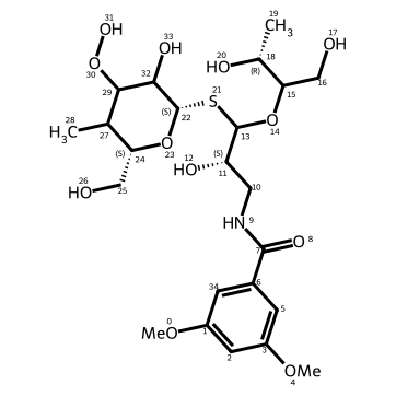 COc1cc(OC)cc(C(=O)NC[C@H](O)C(OC(CO)[C@@H](C)O)S[C@@H]2O[C@H](CO)C(C)C(OO)C2O)c1